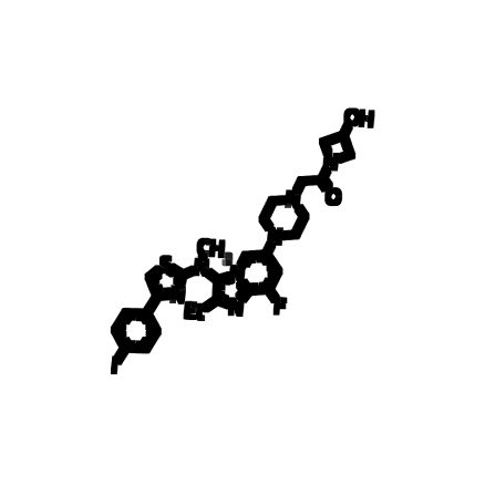 CCc1nc2c(F)cc(N3CCN(CC(=O)N4CC(O)C4)CC3)cn2c1N(C)c1nc(-c2ccc(I)cc2)cs1